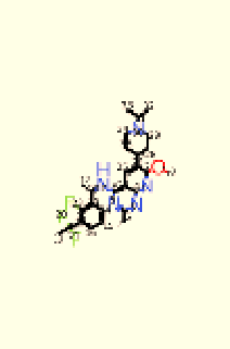 COc1nc2nc(C)nc(N[C@H](C)c3cccc(C(C)(F)F)c3F)c2cc1C1CCN(C(C)C)CC1